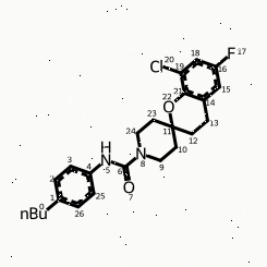 CCCCc1ccc(NC(=O)N2CCC3(CCc4cc(F)cc(Cl)c4O3)CC2)cc1